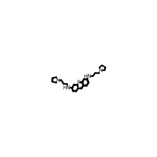 c1cc2cc3ccc(NCCCN4CCCC4)cc3nc2cc1NCCCN1CCCC1